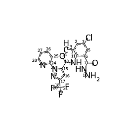 Cc1cc(Cl)cc(C(=O)NN)c1NC(=O)c1cc(C(F)(F)F)nn1-c1ccccn1